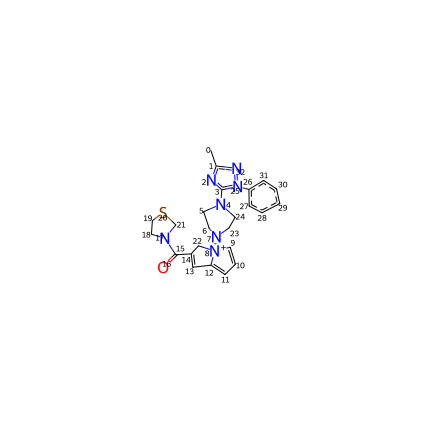 Cc1nc(N2CCN([N@@+]34C=CC=C3C=C(C(=O)N3CCSC3)C4)CC2)n(-c2ccccc2)n1